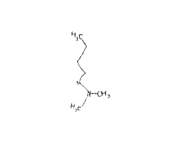 CCCC[N]N(C)C